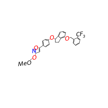 COCOc1cc(-c2ccc(OC3CCc4c(OCc5ccccc5C(F)(F)F)cccc43)cc2)on1